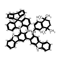 CC1(C)CCC(C)(C)c2cc(Nc3cc4c(cc3-c3cc5c(oc6ccccc65)c5c3Bc3cccc6c3N5c3ccccc3C63c5ccccc5-c5ccccc53)oc3ccccc34)ccc21